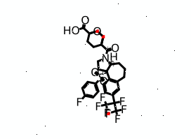 O=C(N1CC[C@]2(S(=O)(=O)c3ccc(F)cc3)c3ccc(C(F)(C(F)(F)F)C(F)(F)F)cc3CCC[C@H]12)C12CCC(C(=O)O)(CC1)OC2